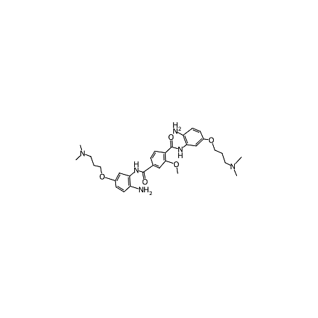 COc1cc(C(=O)Nc2cc(OCCCN(C)C)ccc2N)ccc1C(=O)Nc1cc(OCCCN(C)C)ccc1N